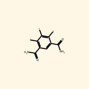 NC(=O)c1cc(C(N)=O)c(I)c(I)c1I